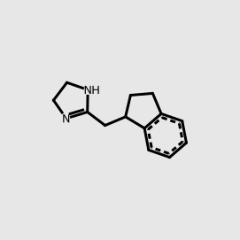 c1ccc2c(c1)CCC2CC1=NCCN1